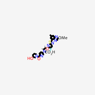 COc1cnc2c(-c3nc4cc(F)c(O[C@@H](C)[C@@H](C)N(C(=O)O)c5ccc(C(=O)N6CCCC(O)C6)nc5)nc4s3)cc(C)cc2n1